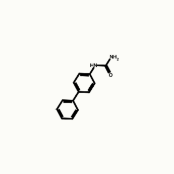 NC(=O)Nc1ccc(-c2c[c]ccc2)cc1